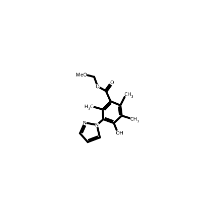 COCOC(=O)c1c(C)c(C)c(O)c(-n2cccn2)c1C